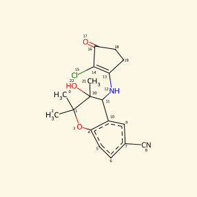 CC1(C)Oc2ccc(C#N)cc2C(NC2=C(Cl)C(=O)CC2)C1(C)O